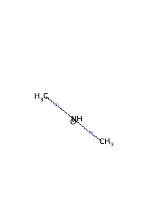 CCCCCCCC/C=C/CCCCCCCCCCCCNC(=O)CCCCCCCCCCC/C=C/CCCCCCCC